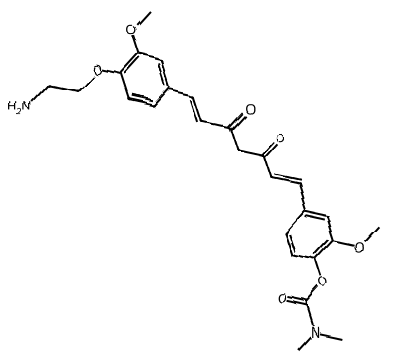 COc1cc(C=CC(=O)CC(=O)C=Cc2ccc(OC(=O)N(C)C)c(OC)c2)ccc1OCCN